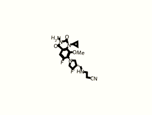 COc1c(N2C[C@H](CNCCC#N)[C@H](F)C2)c(F)cc2c(=O)n(N)c(=O)n(C3CC3)c12